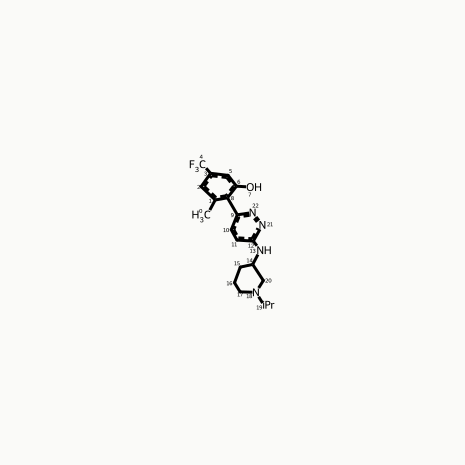 Cc1cc(C(F)(F)F)cc(O)c1-c1ccc(NC2CCCN(C(C)C)C2)nn1